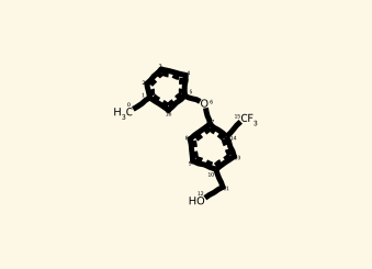 Cc1cccc(Oc2ccc(CO)cc2C(F)(F)F)c1